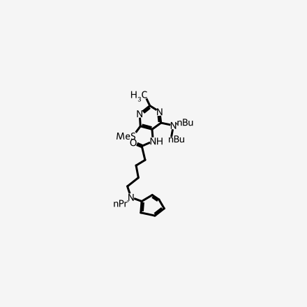 CCCCN(CCCC)c1nc(C)nc(SC)c1NC(=O)CCCCN(CCC)c1ccccc1